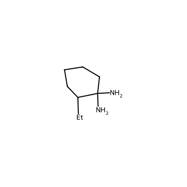 CCC1CCCCC1(N)N